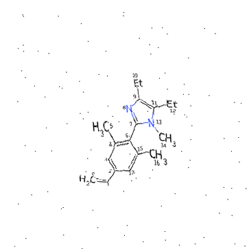 C=Cc1cc(C)c(-c2nc(CC)c(CC)n2C)c(C)c1